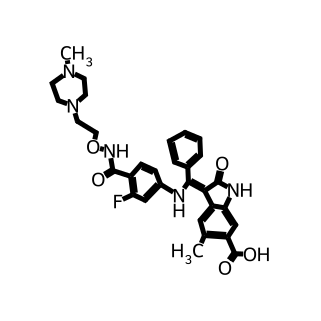 Cc1cc2c(cc1C(=O)O)NC(=O)C2=C(Nc1ccc(C(=O)NOCCN2CCN(C)CC2)c(F)c1)c1ccccc1